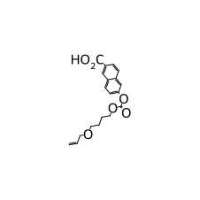 C=CCOCCCCOC(=O)Oc1ccc2cc(C(=O)O)ccc2c1